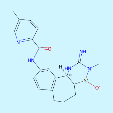 Cc1ccc(C(=O)Nc2ccc3c(c2)[C@H]2NC(=N)N(C)[S+]([O-])C2CCC3)nc1